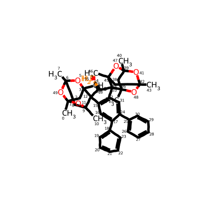 CC12CC3(C)OC(C)(CC(C)(O1)C3(CP)c1cc(-c3ccccc3)c(-c3ccccc3)cc1C1(CP)C3(C)CC4(C)OC(C)(CC1(C)O4)O3)O2